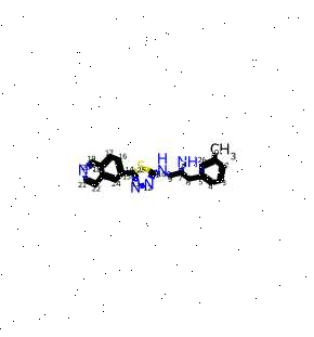 Cc1cccc(CC(N)CNc2nnc(-c3ccc4cnccc4c3)s2)c1